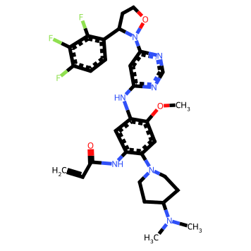 C=CC(=O)Nc1cc(Nc2cc(N3OCCC3c3ccc(F)c(F)c3F)ncn2)c(OC)cc1N1CCC(N(C)C)CC1